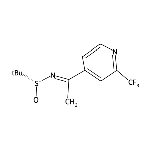 C/C(=N\[S@+]([O-])C(C)(C)C)c1ccnc(C(F)(F)F)c1